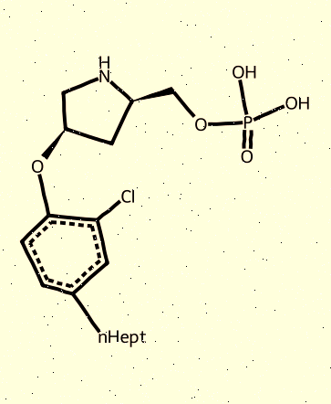 CCCCCCCc1ccc(O[C@H]2CN[C@@H](COP(=O)(O)O)C2)c(Cl)c1